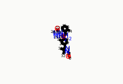 COCn1nc(-c2ccc(OCc3c(C)cccc3N(N)C(=O)N(C)N)c(C)c2)c(C)c1C